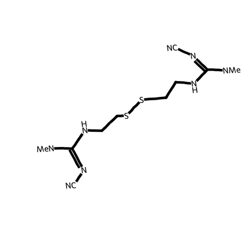 CNC(=NC#N)NCCSSCCNC(=NC#N)NC